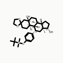 CC(C)(C)[Si](C)(C)Oc1ccc([C@H]2C[C@]3(C)[C@@H](O)CC[C@H]3[C@@H]3CC[C@@]4(O)CC5(CC[C@@H]4[C@H]32)OCCO5)cc1